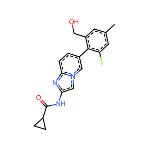 Cc1cc(F)c(-c2ccc3nc(NC(=O)C4CC4)cn3c2)c(CO)c1